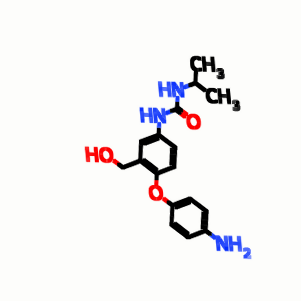 CC(C)NC(=O)Nc1ccc(Oc2ccc(N)cc2)c(CO)c1